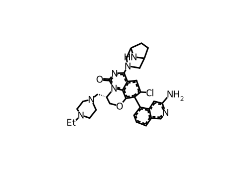 CCN1CCN(C[C@H]2COc3c(-c4cccc5cnc(N)cc45)c(Cl)cc4c(N5CC6CCC(C5)N6)nc(=O)n2c34)CC1